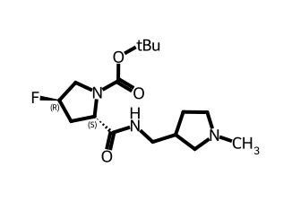 CN1CCC(CNC(=O)[C@@H]2C[C@@H](F)CN2C(=O)OC(C)(C)C)C1